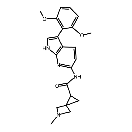 COc1cccc(OC)c1-c1c[nH]c2nc(NC(=O)C3CC34CN(C)C4)ccc12